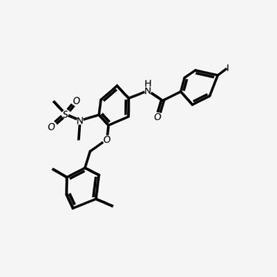 Cc1ccc(C)c(COc2cc(NC(=O)c3ccc(I)cc3)ccc2N(C)S(C)(=O)=O)c1